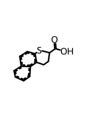 O=C(O)C1CCc2c(ccc3ccccc23)S1